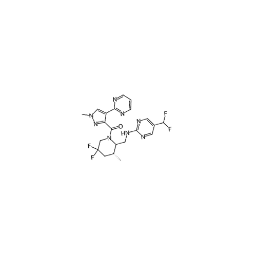 C[C@@H]1CC(F)(F)CN(C(=O)c2nn(C)cc2-c2ncccn2)C1CNc1ncc(C(F)F)cn1